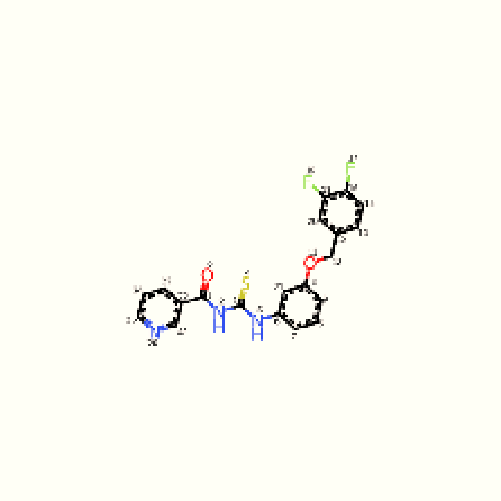 O=C(NC(=S)Nc1cccc(OCc2ccc(F)c(F)c2)c1)c1cccnc1